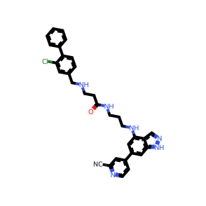 N#Cc1cc(-c2cc(NCCCNC(=O)CCNCc3ccc(-c4ccccc4)c(Cl)c3)c3cn[nH]c3c2)ccn1